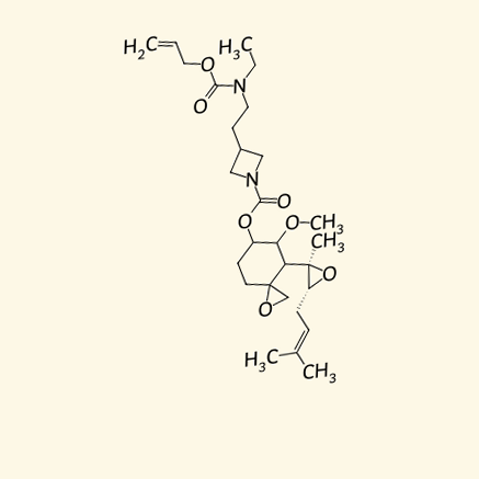 C=CCOC(=O)N(CC)CCC1CN(C(=O)OC2CCC3(CO3)C([C@@]3(C)O[C@@H]3CC=C(C)C)C2OC)C1